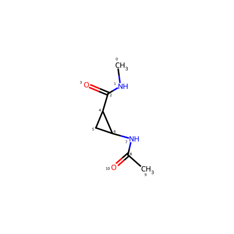 CNC(=O)C1CC1NC(C)=O